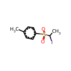 Cc1ccc(S(=O)(=O)C(C)I)cc1